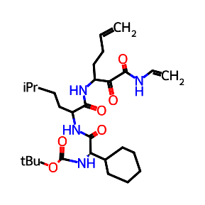 C=CCCC(NC(=O)C(CCC(C)C)NC(=O)[C@@H](NC(=O)OC(C)(C)C)C1CCCCC1)C(=O)C(=O)NC=C